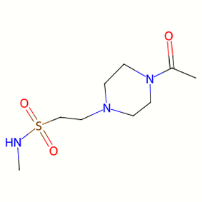 CNS(=O)(=O)CCN1CCN(C(C)=O)CC1